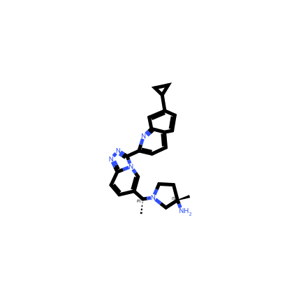 C[C@H](c1ccc2nnc(-c3ccc4ccc(C5CC5)cc4n3)n2c1)N1CC[C@](C)(N)C1